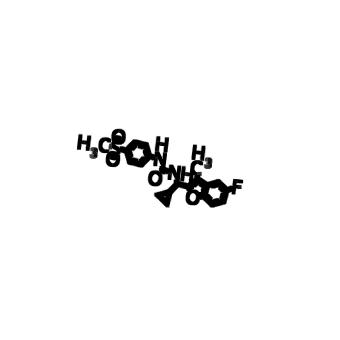 Cc1c(C(NC(=O)Nc2ccc(S(C)(=O)=O)cc2)C2CC2)oc2ccc(F)cc12